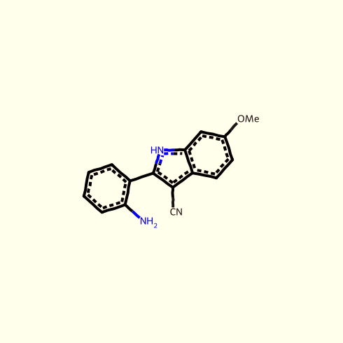 COc1ccc2c(C#N)c(-c3ccccc3N)[nH]c2c1